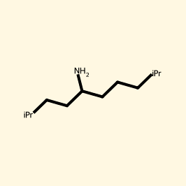 CC(C)CCCC(N)CCC(C)C